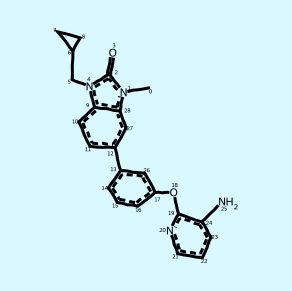 Cn1c(=O)n(CC2CC2)c2ccc(-c3cccc(Oc4ncccc4N)c3)cc21